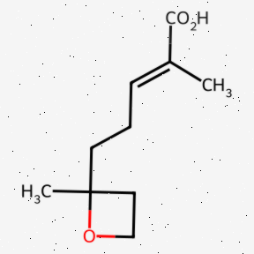 CC(=CCCC1(C)CCO1)C(=O)O